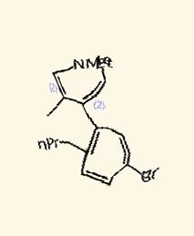 CC/C=C(\C(C)=C/NC)c1cc(Br)ccc1CCC